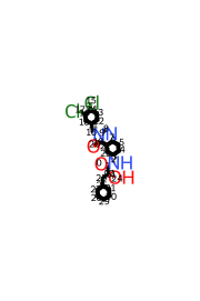 O=C(Nc1ccc2ncn(Cc3ccc(Cl)c(Cl)c3)c(=O)c2c1)[C@@H](O)Cc1ccccc1